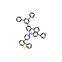 c1ccc(-c2ccc(N(c3ccc(-c4cccc5sc6ccccc6c45)cc3)c3ccc(-c4cc(-c5ccccc5)cc(-c5ccccc5)c4)cc3-c3ccccc3)cc2)cc1